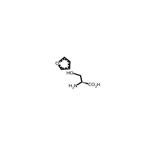 N[C@@H](CO)C(=O)O.c1ccoc1